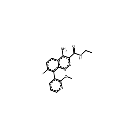 CCNC(=O)c1nnc2c(-c3cccnc3OC)c(F)ccc2c1N